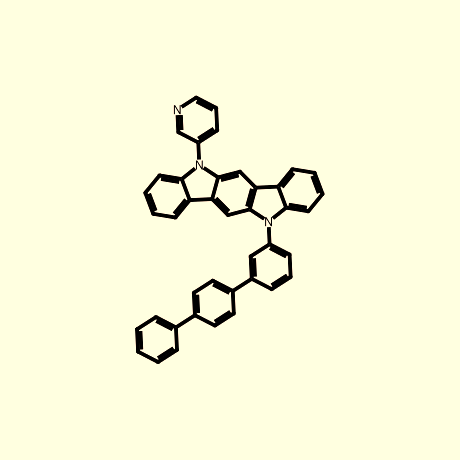 c1ccc(-c2ccc(-c3cccc(-n4c5ccccc5c5cc6c(cc54)c4ccccc4n6-c4cccnc4)c3)cc2)cc1